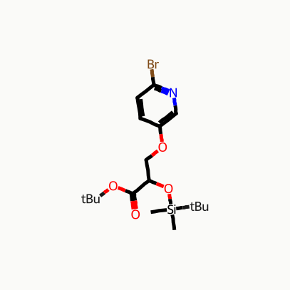 CC(C)(C)OC(=O)C(COc1ccc(Br)nc1)O[Si](C)(C)C(C)(C)C